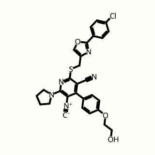 [C-]#[N+]c1c(N2CCCC2)nc(SCc2coc(-c3ccc(Cl)cc3)n2)c(C#N)c1-c1ccc(OCCO)cc1